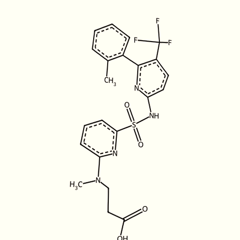 Cc1ccccc1-c1nc(NS(=O)(=O)c2cccc(N(C)CCC(=O)O)n2)ccc1C(F)(F)F